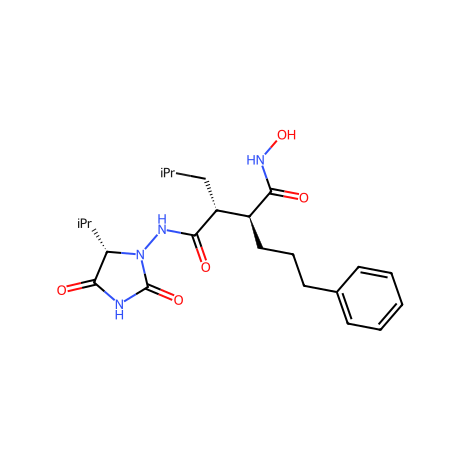 CC(C)C[C@@H](C(=O)NN1C(=O)NC(=O)[C@@H]1C(C)C)[C@H](CCCc1ccccc1)C(=O)NO